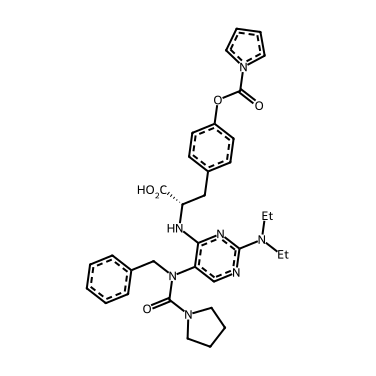 CCN(CC)c1ncc(N(Cc2ccccc2)C(=O)N2CCCC2)c(N[C@@H](Cc2ccc(OC(=O)n3cccc3)cc2)C(=O)O)n1